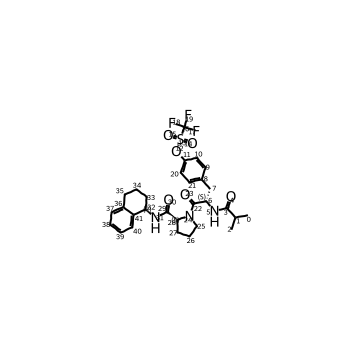 CC(C)C(=O)N[C@@H](Cc1ccc(OS(=O)(=O)C(F)(F)F)cc1)C(=O)N1CCC[C@H]1C(=O)N[C@@H]1CCCc2ccccc21